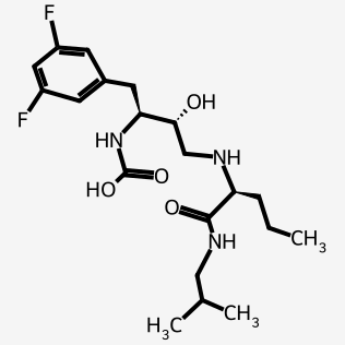 CCC[C@H](NC[C@@H](O)[C@H](Cc1cc(F)cc(F)c1)NC(=O)O)C(=O)NCC(C)C